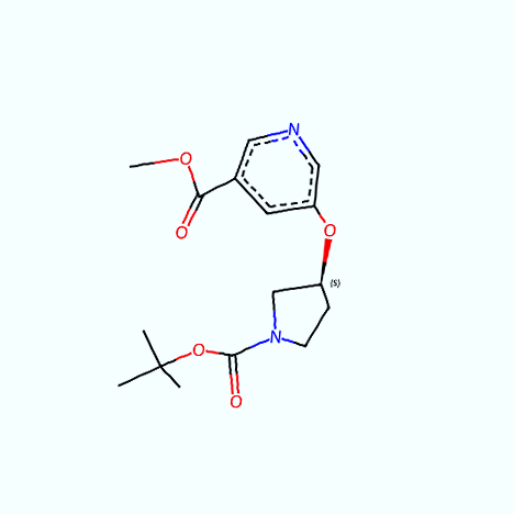 COC(=O)c1cncc(O[C@H]2CCN(C(=O)OC(C)(C)C)C2)c1